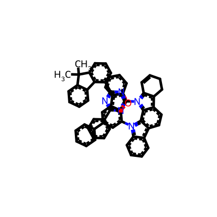 CC1(C)c2ccccc2-c2c(-c3nc(-c4ccccc4)nc(-n4c5c(c6ccc7c8ccccc8n(-c8cc(-c9ccccc9)cc9c8oc8ccccc89)c7c64)CCC=C5)n3)cccc21